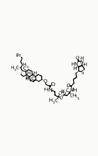 CC(C)CCC[C@@H](C)[C@H]1CC[C@H]2[C@@H]3CC=C4C[C@@H](OCC(=O)NCCC(C)(C)OCCC(C)(C)NC(=O)CCCC[C@@H]5SC[C@@H]6NC(=O)N[C@@H]65)CC[C@]4(C)[C@H]3CC[C@]12C